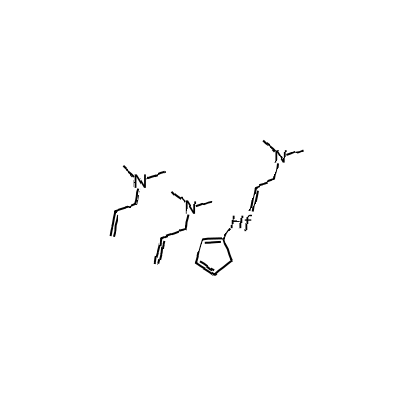 C=CCN(C)C.C=CCN(C)C.C=CCN(C)C.[Hf][C]1=CC=CC1